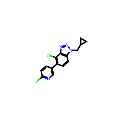 Clc1ccc(-c2ccc3c(nnn3CC3CC3)c2Cl)cn1